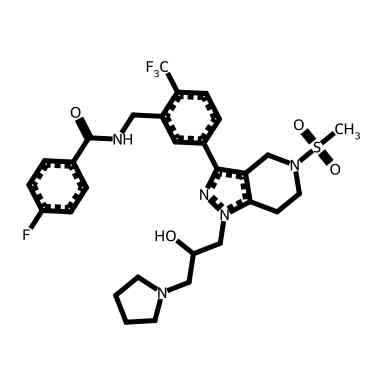 CS(=O)(=O)N1CCc2c(c(-c3ccc(C(F)(F)F)c(CNC(=O)c4ccc(F)cc4)c3)nn2CC(O)CN2CCCC2)C1